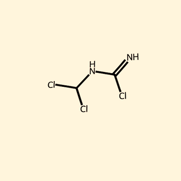 N=C(Cl)NC(Cl)Cl